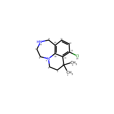 CC1(C)CCN2CCNCc3ccc(Cl)c1c32